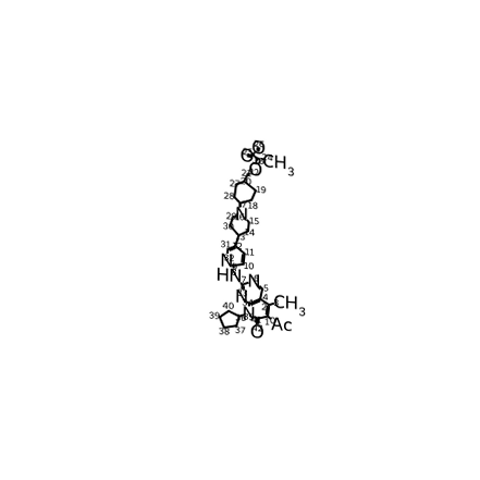 CC(=O)c1c(C)c2cnc(Nc3ccc(C4CCN(C5CCC(COS(C)(=O)=O)CC5)CC4)cn3)nc2n(C2CCCC2)c1=O